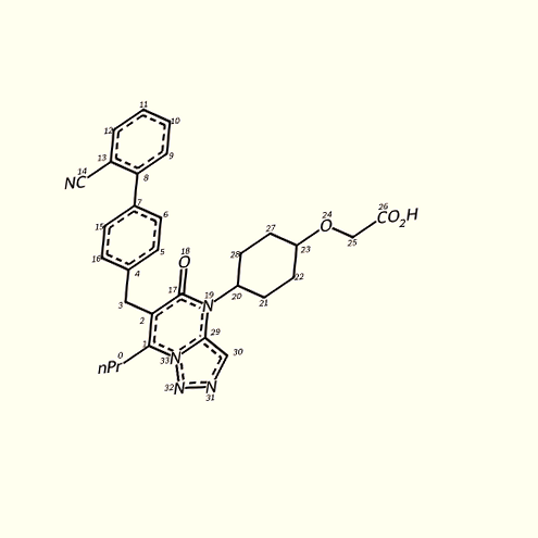 CCCc1c(Cc2ccc(-c3ccccc3C#N)cc2)c(=O)n(C2CCC(OCC(=O)O)CC2)c2cnnn12